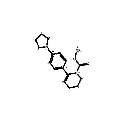 CC(C)(C)OC(=O)N1CCCC=C1c1ccc(N2CCCC2)cc1